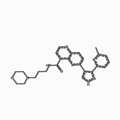 Cc1cccc(-c2n[nH]cc2-c2ccc3nccc(C(=O)NCCCN4CCOCC4)c3n2)n1